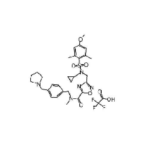 COc1cc(C)c(S(=O)(=O)N(Cc2noc(C(=O)N(C)Cc3ccc(CN4CCCC4)cc3)n2)C2CC2)c(C)c1.O=C(O)C(F)(F)F